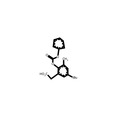 Cc1cc(C(C)(C)C)cc(CC(=O)O)c1OC(=O)Oc1ccccc1